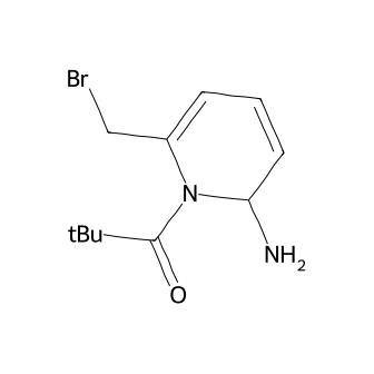 CC(C)(C)C(=O)N1C(CBr)=CC=CC1N